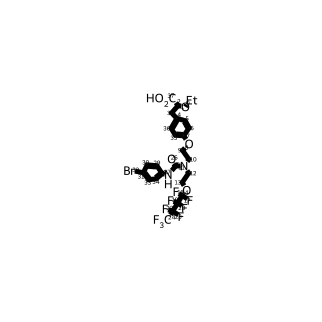 CCOC(Cc1ccc(OCCN(CCOC(F)(F)C(F)(F)C(F)(F)C(F)(F)F)C(=O)Nc2ccc(Br)cc2)cc1)C(=O)O